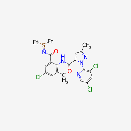 CCS(CC)=NC(=O)c1cc(Cl)cc(C)c1NC(=O)c1cc(C(F)(F)F)nn1-c1ncc(Cl)cc1Cl